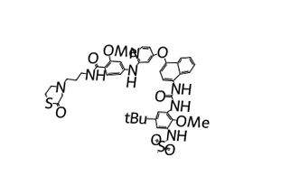 COc1cc(Nc2cc(Oc3ccc(NC(=O)Nc4cc(C(C)(C)C)cc(NS(C)(=O)=O)c4OC)c4ccccc34)ccn2)ccc1C(=O)NCCCN1CCSC(=O)C1